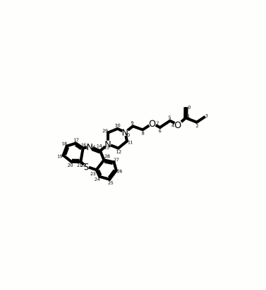 C=C(CC)OCCOCCN1CCN(C2=Nc3ccccc3Sc3ccccc32)CC1